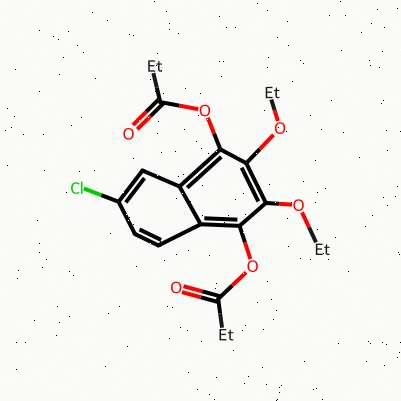 CCOc1c(OCC)c(OC(=O)CC)c2cc(Cl)ccc2c1OC(=O)CC